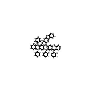 c1ccc(N2c3ccccc3Sc3cc4c(cc32)N(c2ccccc2)c2cc3c5c6c2B4c2cc4c(cc2N6c2ccccc2B5c2ccccc2N3c2ccccc2)sc2ccccc24)cc1